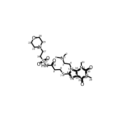 CN(C)CCn1c(SCCC(=O)NS(=O)(=O)CCN2CCOCC2)nc2c(=O)n(C)c(=O)n(C)c21